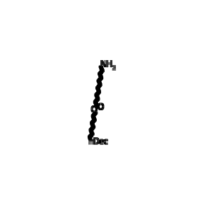 CCCCCCCCCCCCCCCCCCOC(=O)CCCCCCCCCCCN